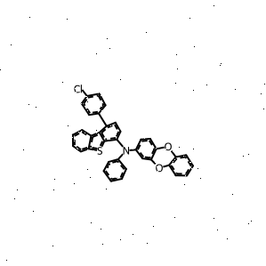 Clc1ccc(-c2ccc(N(c3ccccc3)c3ccc4c(c3)Oc3ccccc3O4)c3sc4ccccc4c23)cc1